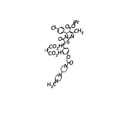 CC1=C(C(=O)OC(C)C)C(c2ccc(Cl)cc2)n2c(s/c(=C\c3ccc(OCC(=O)N4CCC(N5CCN(C)CC5)CC4)cc3)c2=O)=N1.O=C(O)/C=C\C(=O)O